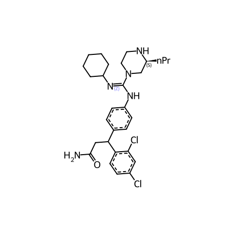 CCC[C@H]1CN(/C(=N\C2CCCCC2)Nc2ccc(C(CC(N)=O)c3ccc(Cl)cc3Cl)cc2)CCN1